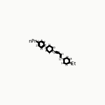 CCCc1ccc([C@H]2CC[C@H](C#CC=C[C@H]3CC[C@H](CC)CC3)CC2)cc1